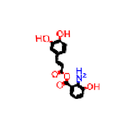 Nc1c(O)cccc1C(=O)OC(=O)C=Cc1ccc(O)c(O)c1